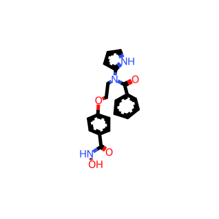 O=C(NO)c1ccc(OCCN(C(=O)c2ccccc2)c2ccc[nH]2)cc1